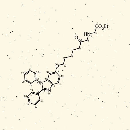 CCOC(=O)CNCC(=O)CCCCCOc1ccc2nc(-c3ccccc3)n(-c3ccccc3)c2c1